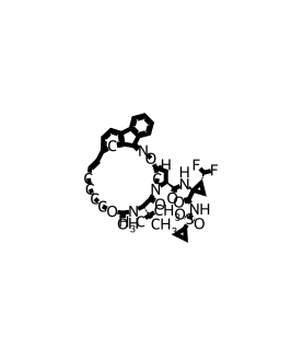 CC(C)(C)[C@@H]1NC(=O)OCCCC/C=C/c2ccc3c(c2)C(=NO[C@@H]2C[C@@H](C(=O)N[C@]4(C(=O)NS(=O)(=O)C5CC5)C[C@H]4C(F)F)N(C2)C1=O)c1ccccc1-3